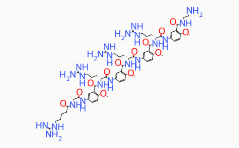 COc1ccc(NC(=O)[C@@H](CCCNC(=N)N)NC(=O)c2cc(NC(=O)[C@@H](CCCNC(=N)N)NC(=O)c3cc(NC(=O)[C@@H](CCCNC(=N)N)NC(=O)c4cc(NC(=O)[C@@H](C)NC(=O)CCCCNC(=N)N)ccc4OC)ccc3OC)ccc2OC)cc1C(=O)NCCN